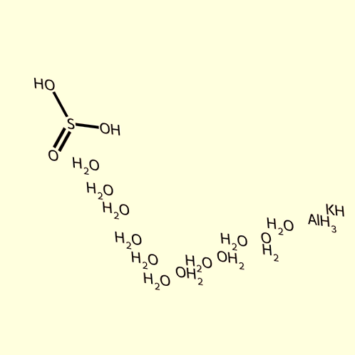 O.O.O.O.O.O.O.O.O.O.O.O.O=S(O)O.[AlH3].[KH]